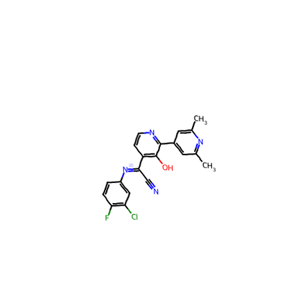 Cc1cc(-c2nccc(/C(C#N)=N/c3ccc(F)c(Cl)c3)c2O)cc(C)n1